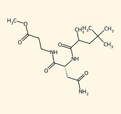 COC(=O)CCNC(=O)[C@@H](CC(N)=O)NC(=O)C(C)CC(C)(C)C